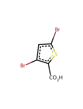 O=C(O)c1sc(Br)cc1Br